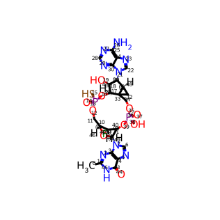 Cc1nc2c(ncn2[C@@H]2O[C@@H]3COP(=O)(S)O[C@H]4[C@@H](O)[C@H](n5cnc6c(N)ncnc65)[C@H]5CC54COP(=O)(O)O[C@@H]2[C@@H]3F)c(=O)[nH]1